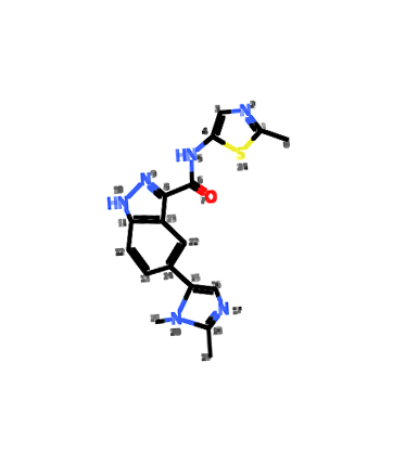 Cc1ncc(NC(=O)c2n[nH]c3ccc(-c4cnc(C)n4C)cc23)s1